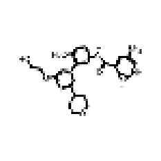 Cc1ccc(NC(=O)C2=CC(C(F)(F)F)=CNC3OC23)cc1-c1cc(OCCO)nc(C2CCOCC2)c1